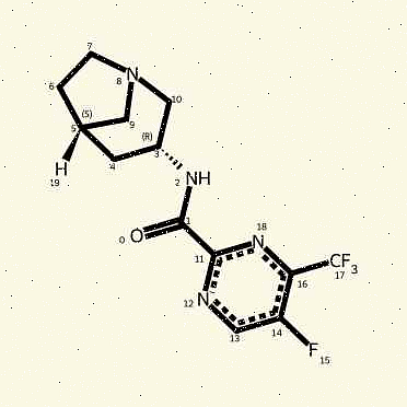 O=C(N[C@@H]1C[C@@H]2CCN(C2)C1)c1ncc(F)c(C(F)(F)F)n1